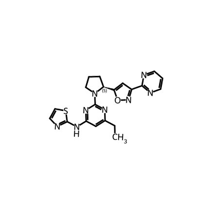 CCc1cc(Nc2nccs2)nc(N2CCC[C@H]2c2cc(-c3ncccn3)no2)n1